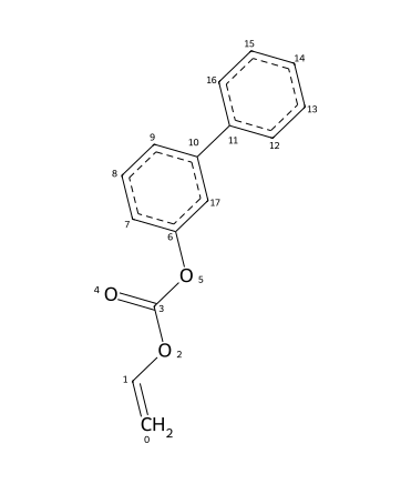 C=COC(=O)Oc1cccc(-c2ccccc2)c1